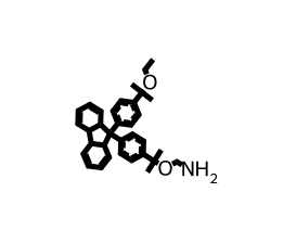 CCOC(C)(C)c1ccc(C2(c3ccc(C(C)(C)OCN)cc3)C3C=CC=CC3C3C=CC=CC32)cc1